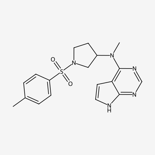 Cc1ccc(S(=O)(=O)N2CCC(N(C)c3ncnc4[nH]ccc34)C2)cc1